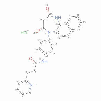 Cl.O=C(CCc1ccccn1)Nc1ccc(N2C(=O)CC(=O)Nc3c2ccc2ccccc32)cc1